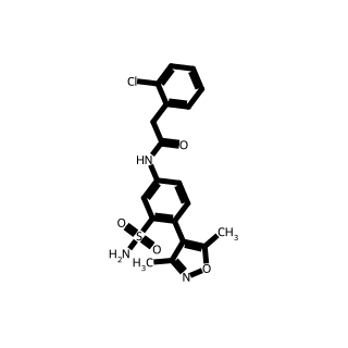 Cc1noc(C)c1-c1ccc(NC(=O)Cc2ccccc2Cl)cc1S(N)(=O)=O